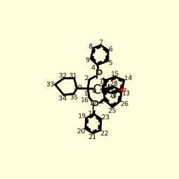 CC(CP(c1ccccc1)c1ccccc1)(CP(c1ccccc1)c1ccccc1)C1CCCCC1